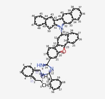 CC/C=c1/cccc/c1=C/N(C)/C(=N\C(=N)c1ccc2c(c1)oc1c3ccccc3c(-n3c4cc5ccccc5cc4c4cc5ccccc5cc43)cc21)c1ccccc1